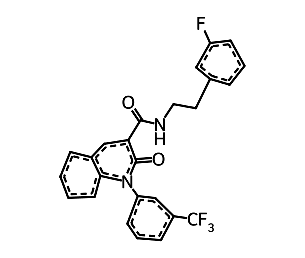 O=C(NCCc1cccc(F)c1)c1cc2ccccc2n(-c2cccc(C(F)(F)F)c2)c1=O